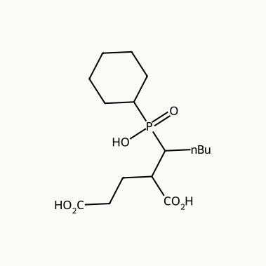 CCCCC(C(CCC(=O)O)C(=O)O)P(=O)(O)C1CCCCC1